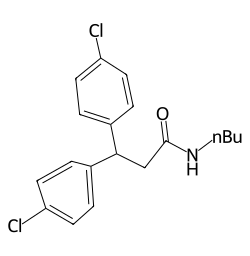 CCCCNC(=O)CC(c1ccc(Cl)cc1)c1ccc(Cl)cc1